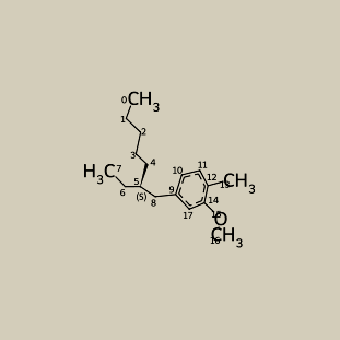 CCCCC[C@H](CC)Cc1ccc(C)c(OC)c1